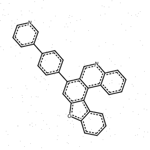 c1cncc(-c2ccc(-c3cc4oc5ccccc5c4c4c3cnc3ccccc34)cc2)c1